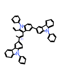 C=Cc1c(/C=C(\C)c2ccc3c(c2)c2ccccc2n3-c2ccccc2)c2cc(-c3ccc4c(c3)c3ccccc3n4-c3ccccc3)ccc2n1-c1ccccc1